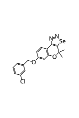 CC1(C)Oc2cc(OCc3cccc(Cl)c3)ccc2-c2nn[se]c21